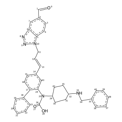 O=Cc1ccc2c(c1)nnn2CC=Cc1ccc(-c2ccccc2)c(N(C(=O)O)C2CCC(NCc3ccccc3)CC2)c1